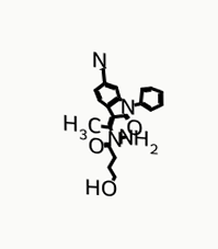 C/C(=C1/C(=O)N(c2ccccc2)c2cc(C#N)ccc21)N(N)C(=O)CCCO